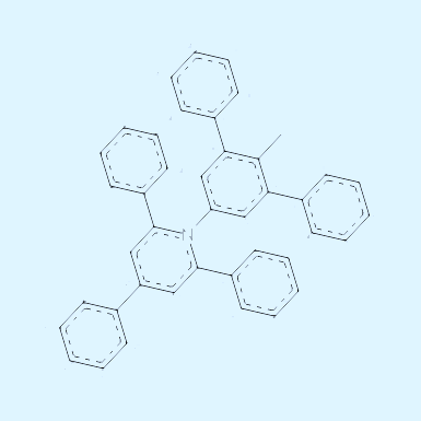 Cc1c(-c2ccccc2)cc(-[n+]2c(-c3ccccc3)cc(-c3ccccc3)cc2-c2ccccc2)cc1-c1ccccc1